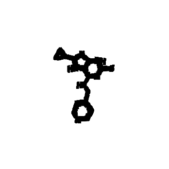 S=c1nc(NCc2ccncc2)c2[nH]c(C3CC3)nc2[nH]1